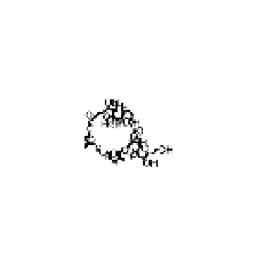 C=C1CC2CCC(=O)CC3O[C@H]4[C@@H](O)[C@H]5O[C@H](CC[C@@H]5O[C@H]4[C@H]3O)CC(=O)O[C@H]3C(CC4O[C@@H](CCC1O2)C[C@@H](C)C4=C)O[C@H]1C[C@@H](O)[C@@H](CCO)O[C@H]1[C@@H]3C